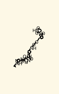 NC(=O)c1nn(-c2ccc(CNCCOCCOCCCc3cccc4c3CN(C3CCC(=O)NC3=O)C4=O)cc2)cc1NC(=O)c1coc(-c2ccnc(NCC3CC3)c2)n1